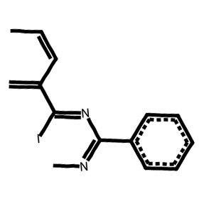 C=C(/C=C\C)/C(I)=N/C(=N\C)c1ccccc1